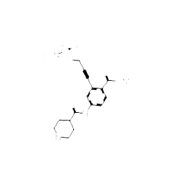 COC(=O)c1ccc(NC(=O)C2CCNCC2)cc1C#CCOS(N)(=O)=O